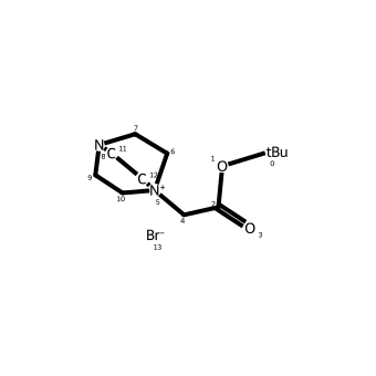 CC(C)(C)OC(=O)C[N+]12CCN(CC1)CC2.[Br-]